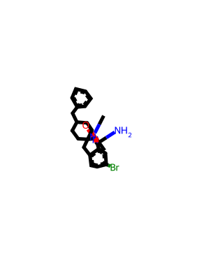 CN1C(=O)C2(N=C1N)c1cc(Br)ccc1CC21CCC(Cc2ccccc2)CC1